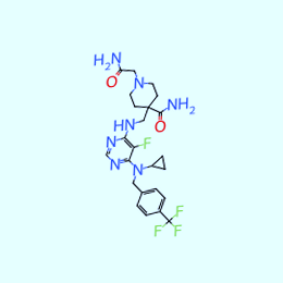 NC(=O)CN1CCC(CNc2ncnc(N(Cc3ccc(C(F)(F)F)cc3)C3CC3)c2F)(C(N)=O)CC1